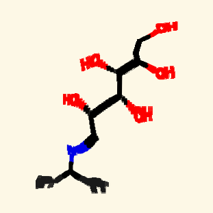 CC(C)C(/N=C/[C@H](O)[C@@H](O)[C@H](O)[C@H](O)CO)C(C)C